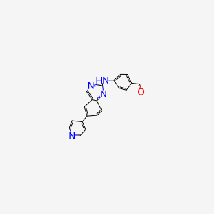 O=Cc1ccc(Nc2ncc3cc(-c4ccncc4)ccc3n2)cc1